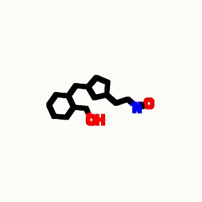 O=NCCC1CCC(CC2CCCCC2CO)C1